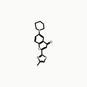 Cc1csc(-c2cc(=O)c3cc(N4CCCCC4)ccc3o2)n1